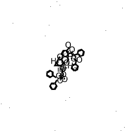 CC(C)[C@]12C[C@H]1[C@@H]1O[C@@]13[C@@]1(C)CCC4=C(/C(=C(\OC(=O)c5ccccc5)c5ccccc5)OC4=O)[C@@H]1CO[C@]3(C)[C@@H]2OCOP(=O)(OCc1ccccc1)OCc1ccccc1